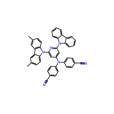 Cc1ccc2c(c1)c1cc(C)ccc1n2-c1cc(N(c2ccc(C#N)cc2)c2ccc(C#N)cc2)cc(-n2c3ccccc3c3ccccc32)n1